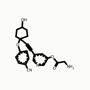 N#Cc1ccc(OC2(C#Cc3cncc(OC(=O)CN)c3)CCC(O)CC2)cc1